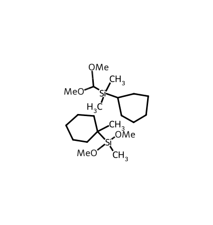 COC(OC)[Si](C)(C)C1CCCCC1.CO[Si](C)(OC)C1(C)CCCCC1